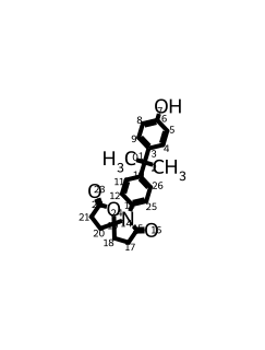 CC(C)(c1ccc(O)cc1)c1ccc(N2C(=O)CCC23CCC(=O)O3)cc1